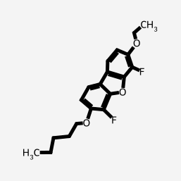 CCCCCOc1ccc2c(oc3c(F)c(OCC)ccc32)c1F